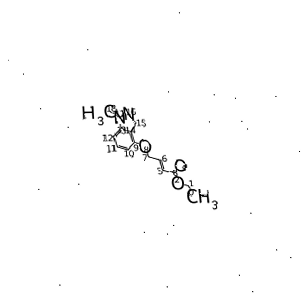 CCOC(=O)C=CCOc1cccc2c1cnn2C